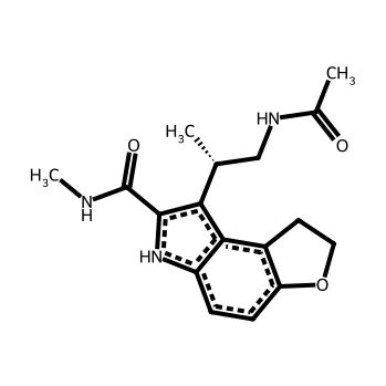 CNC(=O)c1[nH]c2ccc3c(c2c1[C@H](C)CNC(C)=O)CCO3